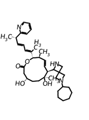 C/C(=C\C=C\[C@H](C)c1ccccn1)[C@H]1OC(=O)C[C@@H](O)CC[C@](C)(O)[C@H](C2NCC23CN(C2CCCCCC2)C3)/C=C/[C@@H]1C